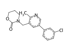 Cc1ncc(-c2cccc(Cl)c2)cc1CN1CCCOC1=O